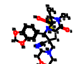 CN1C(=O)[C@@]23C[C@@](C#N)(CN4CCOCC4)C(c4ccc5c(c4)OCO5)N2C(=O)[C@]1(C)SS3